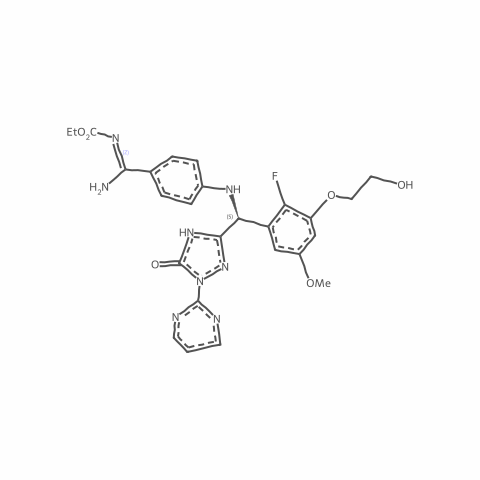 CCOC(=O)/N=C(\N)c1ccc(N[C@H](c2nn(-c3ncccn3)c(=O)[nH]2)c2cc(OC)cc(OCCO)c2F)cc1